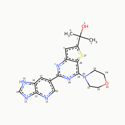 CC(C)(O)c1cc2nc(-c3cnc4nc[nH]c4c3)nc(N3CCOCC3)c2s1